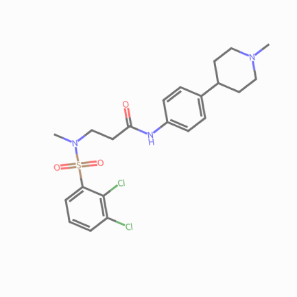 CN1CCC(c2ccc(NC(=O)CCN(C)S(=O)(=O)c3cccc(Cl)c3Cl)cc2)CC1